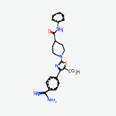 N=C(N)c1ccc(-c2nc(N3CCC(C(=O)Nc4ccccc4)CC3)sc2C(=O)O)cc1